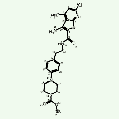 Cc1cc(Cl)nc2sc(C(=O)NCCc3ccc(N4CCN(C(=O)OC(C)(C)C)CC4)cc3)c(N)c12